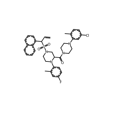 C=CC(c1cccc2ccccc12)S(=O)(=O)N1CCN(c2ccc(F)cc2C)C(C(=O)N2CCN(c3cc(Cl)ccc3C)CC2)C1